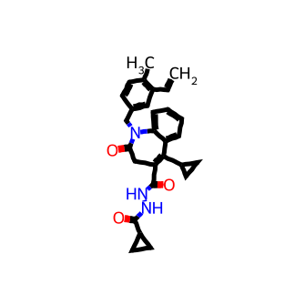 C=Cc1cc(CN2C(=O)CC(C(=O)NNC(=O)C3CC3)=C(C3CC3)c3ccccc32)ccc1C